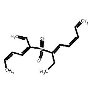 C=C/C=C\C=C(/CC)S(=O)(=O)/C(C=C)=C/C=C\C